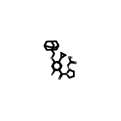 O=C(O)C[C@@H]1CCCN1C(=O)c1cc(C2CC2)c(OCC23CC4CC(CC(C4)C2)C3)cc1F